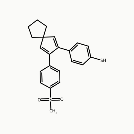 CS(=O)(=O)c1ccc(C2=CC3(C=C2c2ccc(S)cc2)CCCC3)cc1